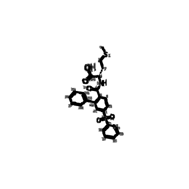 CSCC[C@H](NC(=O)c1ccc(S(=O)(=O)c2ccccn2)cc1-c1ccccc1)C(=O)O